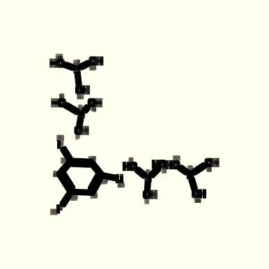 OB(O)O.OB(O)O.OB(O)O.OB(O)O.[Li][c]1cc(F)cc(F)c1